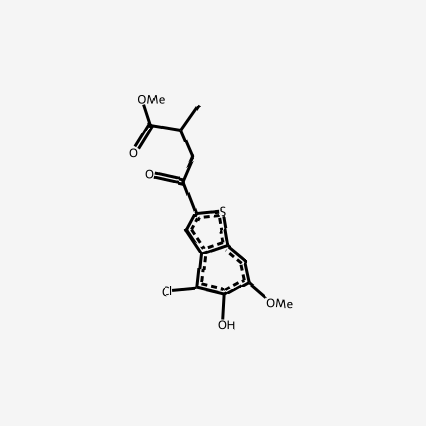 COC(=O)C(C)CC(=O)c1cc2c(Cl)c(O)c(OC)cc2s1